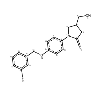 O=C1CC(CO)CN1c1ccc(OCc2cccc(F)c2)cc1